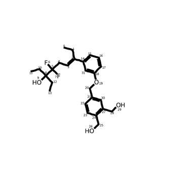 CCC(=CCC(F)(F)C(O)(CC)CC)c1cccc(OCc2ccc(CO)c(CO)c2)c1